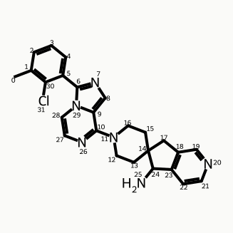 Cc1cccc(-c2ncc3c(N4CCC5(CC4)Cc4cnccc4C5N)nccn23)c1Cl